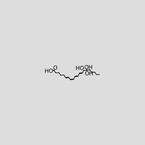 CCCCCC(O)(O)C(O)/C=C/C=C/C=C\C=CCCCCC(=O)O